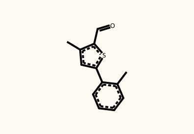 Cc1ccccc1-c1cc(C)c(C=O)s1